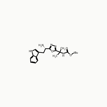 CC(C)(C)OC(=O)NC(C)(C)c1nnc([C@@H](N)Cc2c[nH]c3ccccc23)o1